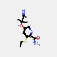 CCSc1cc(OC(C)(C)C#N)cnc1C(N)=O